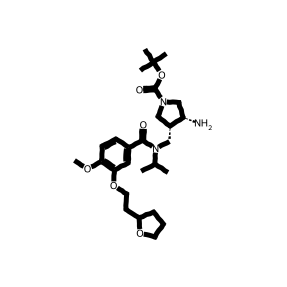 COc1ccc(C(=O)N(C[C@@H]2CN(C(=O)OC(C)(C)C)C[C@@H]2N)C(C)C)cc1OCCC1CCCO1